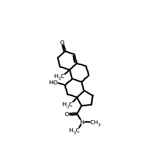 CN(C)C(=O)C1CCC2C3CCC4=CC(=O)CCC4(C)C3C(O)CC12C